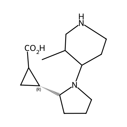 CC1CNCCC1N1CCCC1[C@@H]1CC1C(=O)O